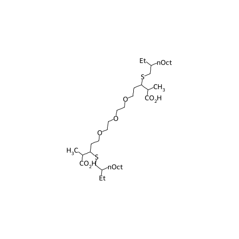 CCCCCCCCC(CC)CSC(CCOCCOCCOCCC(SCC(CC)CCCCCCCC)C(C)C(=O)O)C(C)C(=O)O